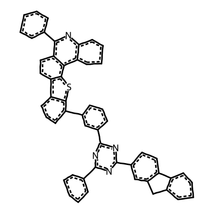 c1ccc(-c2nc(-c3cccc(-c4cccc5c4sc4c5ccc5c(-c6ccccc6)nc6ccccc6c54)c3)nc(-c3ccc4c(c3)Cc3ccccc3-4)n2)cc1